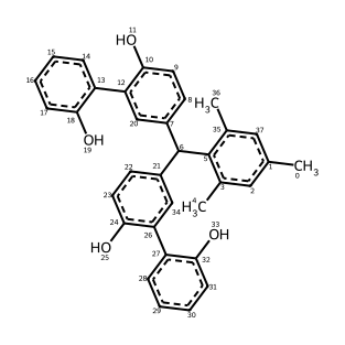 Cc1cc(C)c(C(c2ccc(O)c(-c3ccccc3O)c2)c2ccc(O)c(-c3ccccc3O)c2)c(C)c1